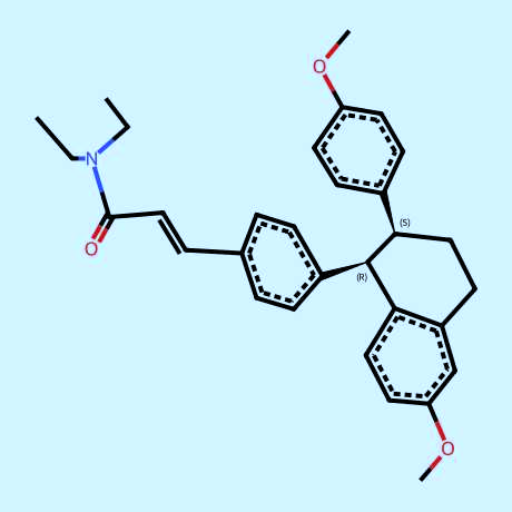 CCN(CC)C(=O)C=Cc1ccc([C@@H]2c3ccc(OC)cc3CC[C@@H]2c2ccc(OC)cc2)cc1